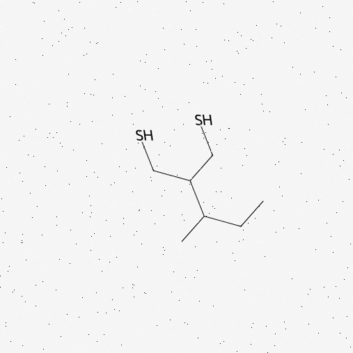 CCC(C)C(CS)CS